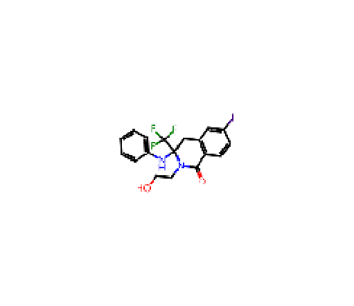 O=C1c2ccc(I)cc2CC(Nc2ccccc2)(C(F)(F)F)N1CCO